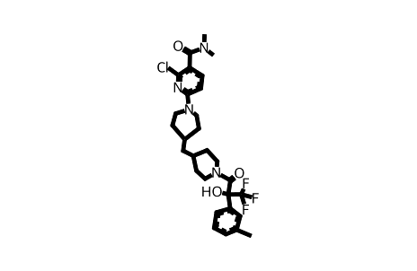 Cc1cccc(C(O)(C(=O)N2CCC(CC3CCN(c4ccc(C(=O)N(C)C)c(Cl)n4)CC3)CC2)C(F)(F)F)c1